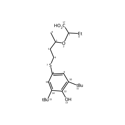 CCC(OC(C)CCSc1cc(C(C)(C)C)c(O)c(C(C)(C)C)c1)C(=O)O